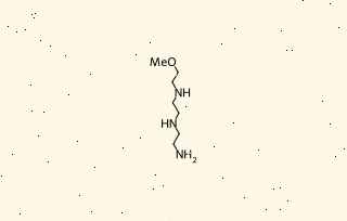 COCCNCCNCCN